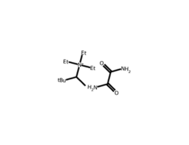 CC[N+](CC)(CC)C(C)C(C)(C)C.NC(=O)C(N)=O